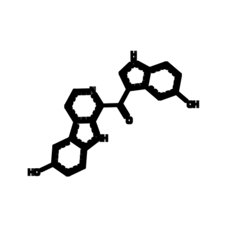 O=C(c1c[nH]c2ccc(O)cc12)c1nccc2c1[nH]c1ccc(O)cc12